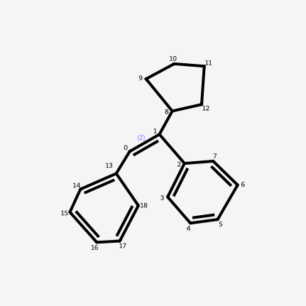 C(=C(/c1ccccc1)C1CCCC1)/c1ccccc1